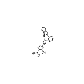 N#CC1=CN(c2ccc(C(=O)O)c(O)c2)CC1c1ccccc1OCc1ccccc1